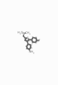 CN(C)Cc1cc(-c2ccc(N)cc2)c(-c2ccc(F)cc2)s1